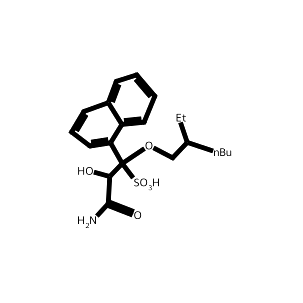 CCCCC(CC)COC(c1cccc2ccccc12)(C(O)C(N)=O)S(=O)(=O)O